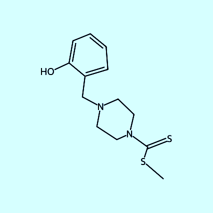 CSC(=S)N1CCN(Cc2ccccc2O)CC1